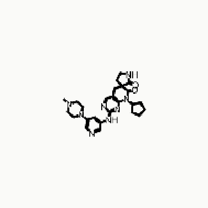 CN1CCN(c2cncc(Nc3ncc4c(n3)N(C3CCCC3)C(=O)C3(CCNC3=O)C4)c2)CC1